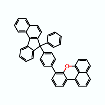 c1ccc(C2(c3ccc(-c4cccc5c4Oc4cccc6cccc-5c46)cc3)c3ccccc3-c3c2ccc2ccccc32)cc1